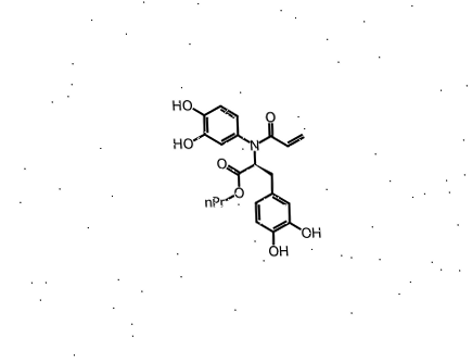 C=CC(=O)N(c1ccc(O)c(O)c1)[C@@H](Cc1ccc(O)c(O)c1)C(=O)OCCC